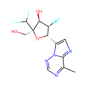 Cc1ncnn2c([C@@H]3O[C@@](CO)(C(F)F)[C@@H](O)[C@H]3F)cnc12